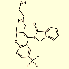 CC1(C)Oc2ccc(C(F)(F)F)cc2C(N2Cc3ccccc3C2=O)=C1CNCCO